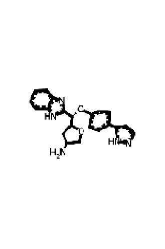 NC1COC([C@@H](Oc2ccc(-c3ccn[nH]3)cc2)c2nc3ccccc3[nH]2)C1